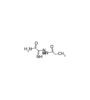 CCC(=O)NNC(=N)C(N)=O